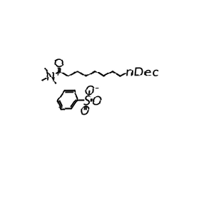 CCCCCCCCCCCCCCCCCC(=O)[N+](C)(C)C.O=S(=O)([O-])c1ccccc1